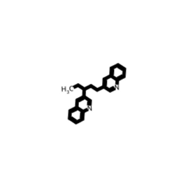 CCC(CCc1cnc2ccccc2c1)c1cnc2ccccc2c1